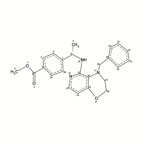 COC(=O)c1ccc([C@H](C)Nc2nccc3c2N(Cc2ccccc2)CCO3)cc1